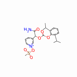 CC(C)c1cccc(C(C)C)c1OC(=O)OC(C(N)=O)c1ccc[n+](OS(C)(=O)=O)c1